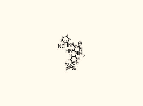 N#C[C@H]1CCCC[C@@H]1N/C=C(\C(=N)Nc1ccc([S+]([O-])C(F)F)cc1)C(N)=O